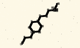 FCCN1CCC(CCCNI)CC1